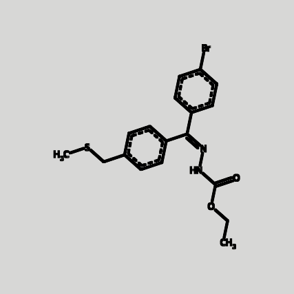 CCOC(=O)NN=C(c1ccc(Br)cc1)c1ccc(CSC)cc1